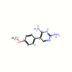 COc1ccc(-c2cnc(N)nc2N)cc1